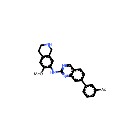 COc1cc2c(cc1Nc1ncc3ccc(-c4cccc(C(C)=O)c4)cc3n1)CNCC2